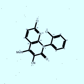 CNc1c(C#N)c(=O)n(-c2ccccc2Cl)c2nc(Cl)ccc12